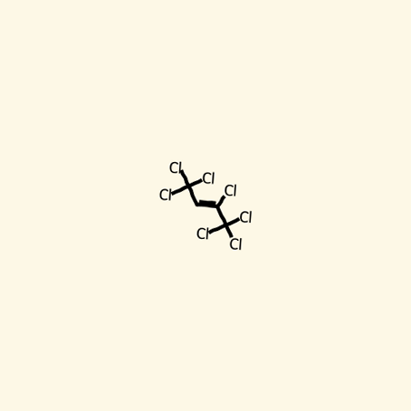 ClC(=CC(Cl)(Cl)Cl)C(Cl)(Cl)Cl